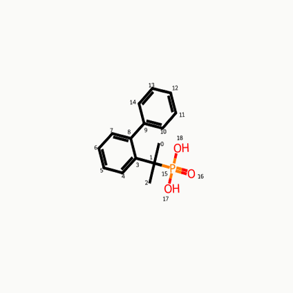 CC(C)(c1ccccc1-c1ccccc1)P(=O)(O)O